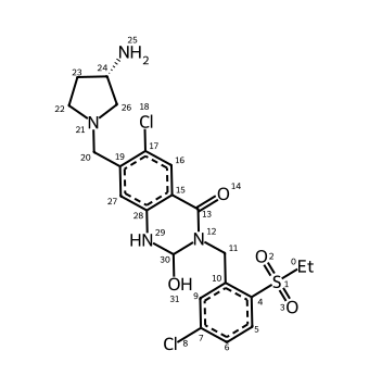 CCS(=O)(=O)c1ccc(Cl)cc1CN1C(=O)c2cc(Cl)c(CN3CC[C@H](N)C3)cc2NC1O